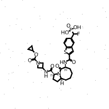 O=C(N[C@H]1CCCC[C@H]2CC[C@@H](C(=O)NC3CN(C(=O)OC4CC4)C3)N2C1=O)c1cc2cc(C(F)P(=O)(O)O)ccc2s1